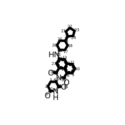 O=C1CCC(N2C(=O)c3cccc4cc(NC5CCC(C6CCCC6)CC5)cc(c34)C2=O)C(=O)N1